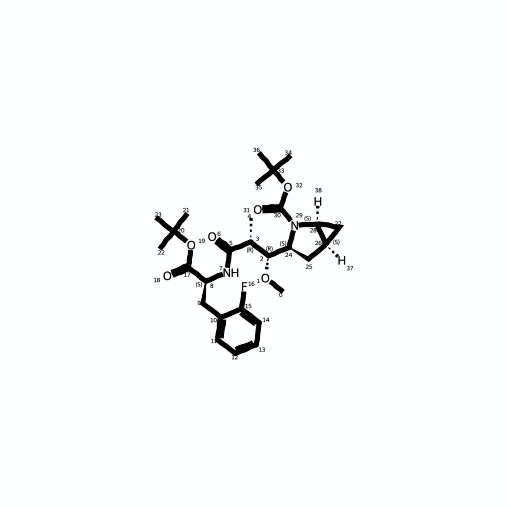 CO[C@H]([C@@H](C)C(=O)N[C@@H](Cc1ccccc1F)C(=O)OC(C)(C)C)[C@@H]1C[C@@H]2C[C@@H]2N1C(=O)OC(C)(C)C